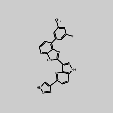 Cc1cc(F)cc(-c2ccnc3[nH]c(-c4n[nH]c5ccc(-c6cn[nH]c6)nc45)nc23)c1